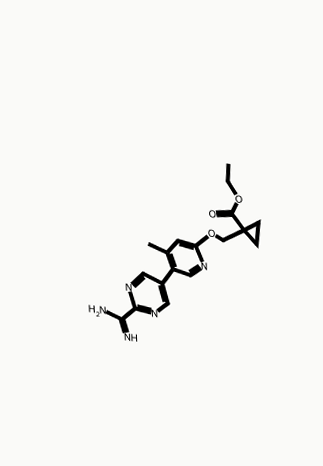 CCOC(=O)C1(COc2cc(C)c(-c3cnc(C(=N)N)nc3)cn2)CC1